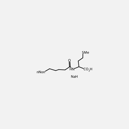 CCCCCCCCCCCCCC(=O)NC(CCSC)C(=O)O.[NaH]